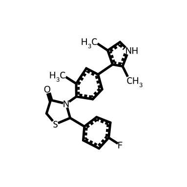 Cc1cc(-c2c(C)c[nH]c2C)ccc1N1C(=O)CSC1c1ccc(F)cc1